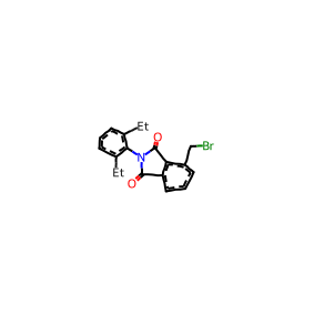 CCc1cccc(CC)c1N1C(=O)c2cccc(CBr)c2C1=O